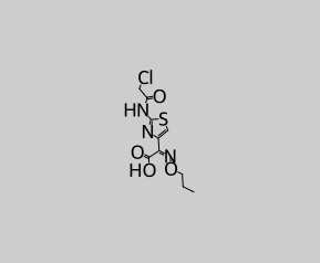 CCCON=C(C(=O)O)c1csc(NC(=O)CCl)n1